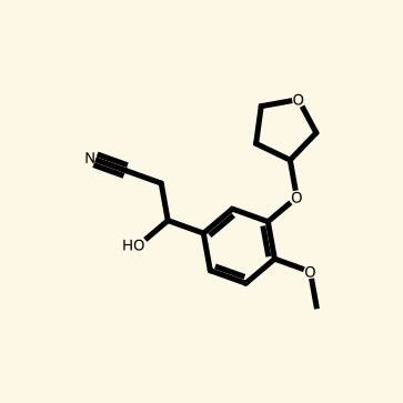 COc1ccc(C(O)CC#N)cc1OC1CCOC1